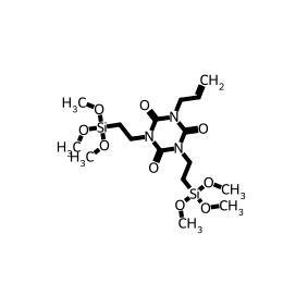 C=CCn1c(=O)n(CC[Si](OC)(OC)OC)c(=O)n(CC[Si](OC)(OC)OC)c1=O